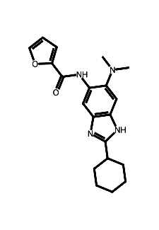 CN(C)c1cc2[nH]c(C3CCCCC3)nc2cc1NC(=O)c1ccco1